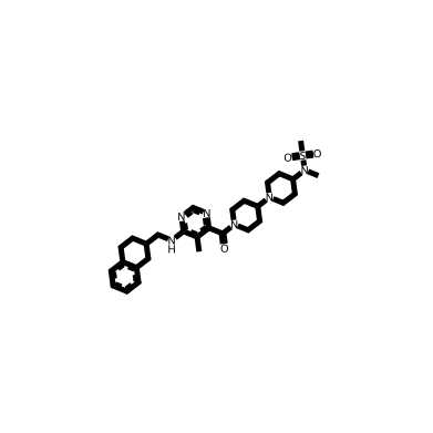 Cc1c(NCC2CCc3ccccc3C2)ncnc1C(=O)N1CCC(N2CCC(N(C)S(C)(=O)=O)CC2)CC1